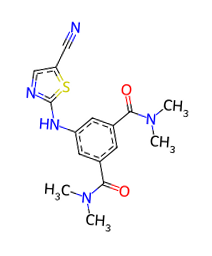 CN(C)C(=O)c1cc(Nc2ncc(C#N)s2)cc(C(=O)N(C)C)c1